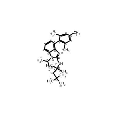 Cc1cc(C)c(-c2cccc3c2nc(NC(C)(C)CC(C)(C)C)n3C(C)C)c(C)c1